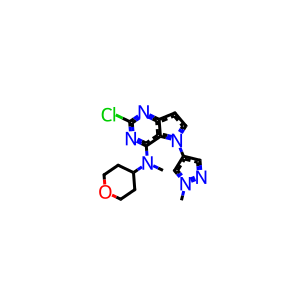 CN(c1nc(Cl)nc2ccn(-c3cnn(C)c3)c12)C1CCOCC1